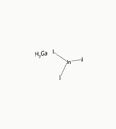 [GaH3].[I][In]([I])[I]